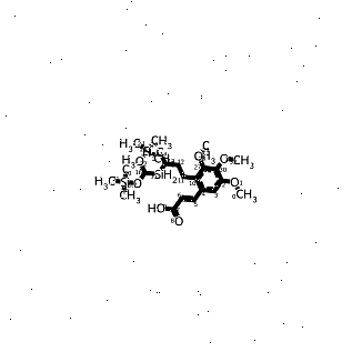 COc1cc(/C=C/C(=O)O)c(CCC(C)[SiH2]C(O[Si](C)(C)C)O[Si](C)(C)C)c(OC)c1OC